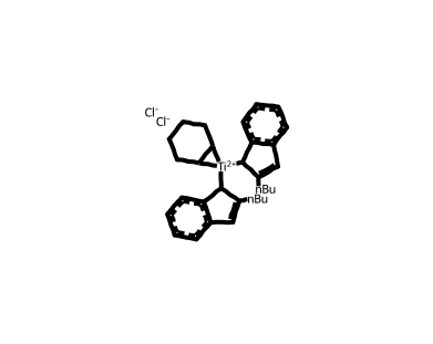 CCCCC1=Cc2ccccc2[CH]1[Ti+2]1([CH]2C(CCCC)=Cc3ccccc32)[CH]2CCCC[CH]21.[Cl-].[Cl-]